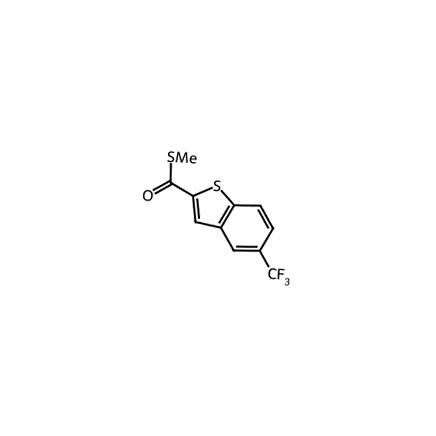 CSC(=O)c1cc2cc(C(F)(F)F)ccc2s1